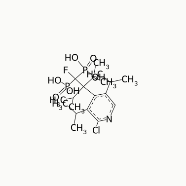 CC(C)c1cnc(Cl)c(C(C)C)c1C(C(C)C)(C(C)C)C(F)(P(=O)(O)O)P(=O)(O)O